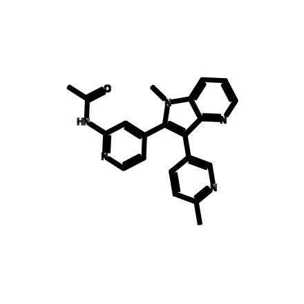 CC(=O)Nc1cc(-c2c(-c3ccc(C)nc3)c3ncccc3n2C)ccn1